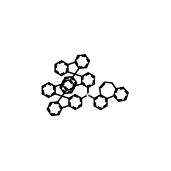 C1=Cc2c(cccc2N(c2ccc3c(c2)C2(c4ccccc4-c4ccccc42)c2ccccc2-3)c2cccc3c2-c2ccccc2C32c3ccccc3-c3ccccc32)-c2ccccc2C1